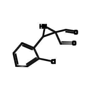 O=CC1(C=O)NC1c1ccccc1Cl